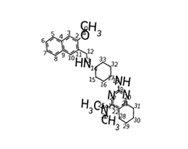 COc1cc2ccccc2cc1CN[C@H]1CC[C@@H](Nc2nc3c(c(N(C)C)n2)CCCC3)CC1